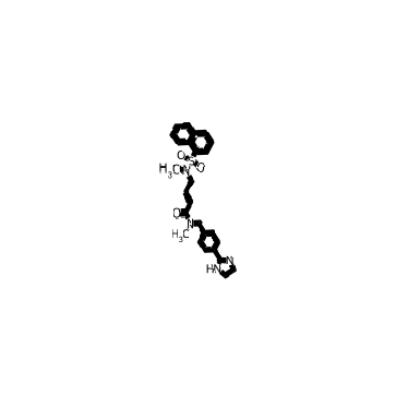 CN(Cc1ccc(C2=NCCN2)cc1)C(=O)C=CCN(C)S(=O)(=O)c1cccc2ccccc12